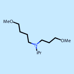 COCCCCN(CCCOC)C(C)C